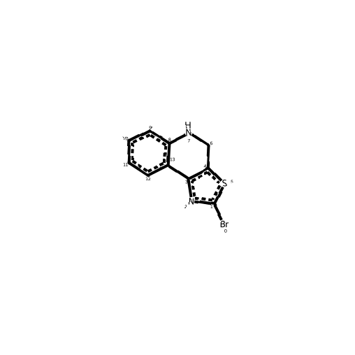 Brc1nc2c(s1)CNc1ccccc1-2